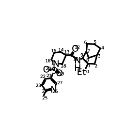 CCC1CC2CCCC(C2)C1NC(=O)C1CCCN(S(=O)(=O)c2ccc(C)nc2)C1